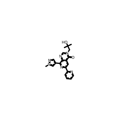 Cn1cc(-c2nc(-c3ccccn3)cc3c(=O)n(CC(C)(C)O)cnc23)cn1